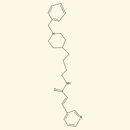 O=C(C=Cc1cccnc1)NCCCCC1CCN(Cc2ccccc2)CC1